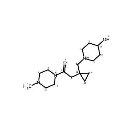 CN1CCN(C(=O)CC2(CN3CCC(O)CC3)CC2)CC1